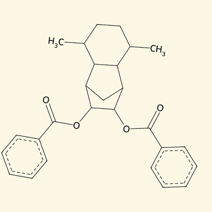 CC1CCC(C)C2C3CC(C(OC(=O)c4ccccc4)C3OC(=O)c3ccccc3)C12